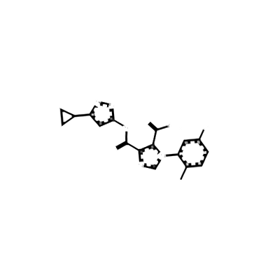 Cc1ccc(Br)cc1-n1cnc(C(=O)Nc2cc(C3CC3)[nH]n2)c1C(N)=O